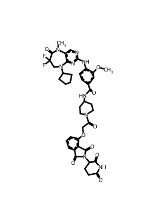 COc1cc(C(=O)NC2CCN(C(=O)COc3cccc4c3C(=O)N(C3CCC(=O)NC3=O)C4=O)CC2)ccc1Nc1ncc2c(n1)N(C1CCCC1)CC(F)(F)C(=O)N2C